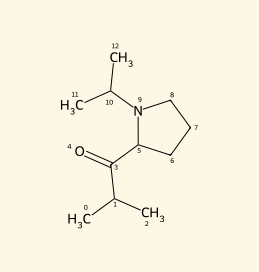 CC(C)C(=O)C1CCCN1C(C)C